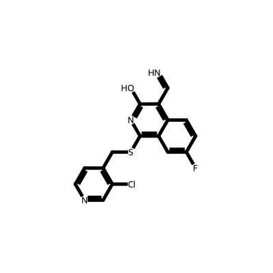 N=Cc1c(O)nc(SCc2ccncc2Cl)c2cc(F)ccc12